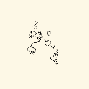 CC1(Oc2ncnc3c2nc(-c2ccc(OCCN4CCNCC4)cc2Cl)n3CCc2ccncc2)CC1